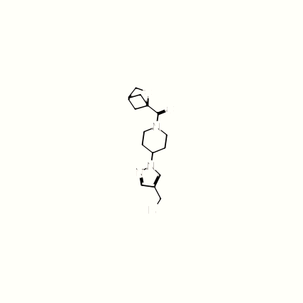 O=C(N1CCC(n2cc(CS)cn2)CC1)C12CC(CO1)C2